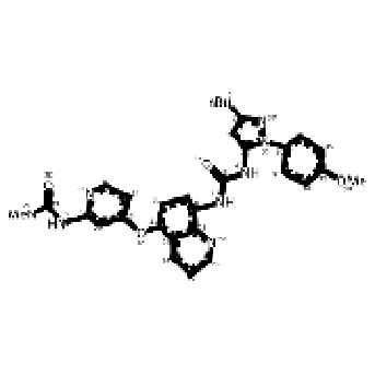 CCCCc1cc(NC(=O)Nc2ccc(Oc3ccnc(NC(=O)NC)c3)c3cccnc23)n(-c2ccc(OC)cc2)n1